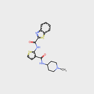 CN1CCC(NC(=O)c2ccsc2NC(=O)c2nc3ccccc3s2)CC1